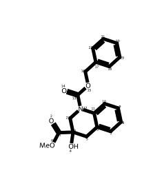 COC(=O)C1(O)Cc2ccccc2N(C(=O)OCc2ccccc2)C1